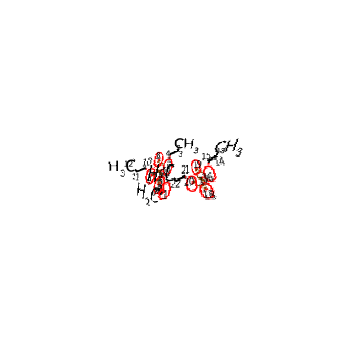 C=O.CCCOS(=O)(=O)OCCC.CCCOS(=O)(=O)OCCC